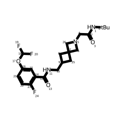 CC(C)(C)NC(=O)CN1CC2(CC(CNC(=O)c3cc(OC(F)F)ccc3F)C2)C1